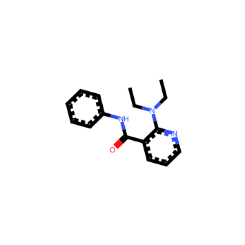 CCN(CC)c1ncccc1C(=O)Nc1cc[c]cc1